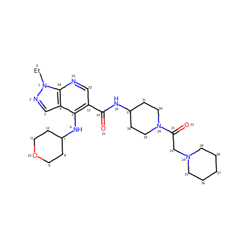 CCn1ncc2c(NC3CCOCC3)c(C(=O)NC3CCN(C(=O)CN4CCCCC4)CC3)cnc21